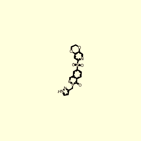 O=c1c2ccc(S(=O)(=O)c3cc4c(cn3)OCCO4)cc2cnn1Cc1cc[nH]n1